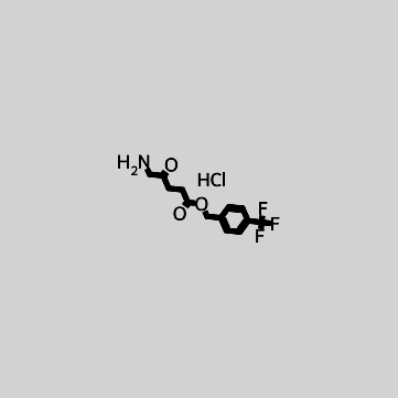 Cl.NCC(=O)CCC(=O)OCc1ccc(C(F)(F)F)cc1